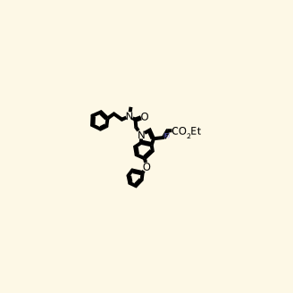 CCOC(=O)/C=C/c1cn(CC(=O)N(C)CCc2ccccc2)c2ccc(Oc3ccccc3)cc12